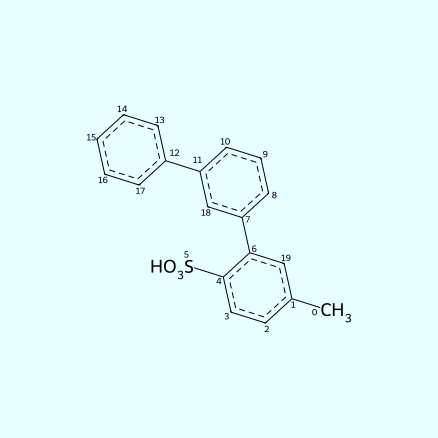 Cc1ccc(S(=O)(=O)O)c(-c2cccc(-c3ccccc3)c2)c1